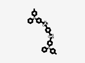 Cc1ccc(N(c2ccccc2)c2ccc(-c3nnc(-c4ccc(-c5nnc(-c6ccc(N(c7ccccc7)c7ccc(C)cc7)cc6)o5)cc4)o3)cc2)cc1